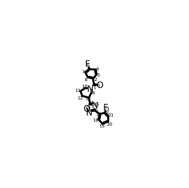 O=C(c1ccc(F)cc1)N1CCCC(c2nc(-c3ccccc3F)no2)C1